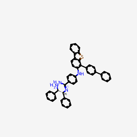 N/C(=N\[C@H](c1ccccc1)C(N)c1ccccc1)c1ccc(Nc2ccc3c(sc4ccccc43)c2-c2ccc(-c3ccccc3)cc2)cc1